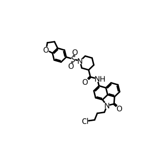 O=C(Nc1ccc2c3c(cccc13)C(=O)N2CCCCl)C1CCCN(S(=O)(=O)c2ccc3c(c2)CCO3)C1